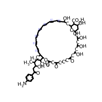 CC1/C=C/C=C/C=C/C=C/C=C/C=C/C=C/C(O)CC2OC(O)(CC(O)CC(O)CC(O)CC(=O)CCCC(=O)CC(=O)OC1C(C)CC(C)C(O)CC(=O)c1ccc(N)cc1)CC(O)C2C(=O)O